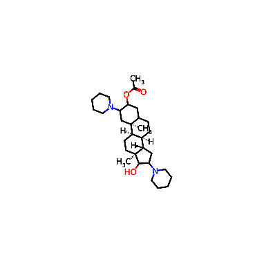 CC(=O)OC1CC2CC[C@@H]3[C@@H](CC[C@]4(C)C(O)C(N5CCCCC5)C[C@@H]34)[C@@]2(C)CC1N1CCCCC1